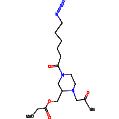 COCC(=O)OCC1CN(C(=O)CCCCCN=[N+]=[N-])CCN1CC(=O)C(C)(C)C